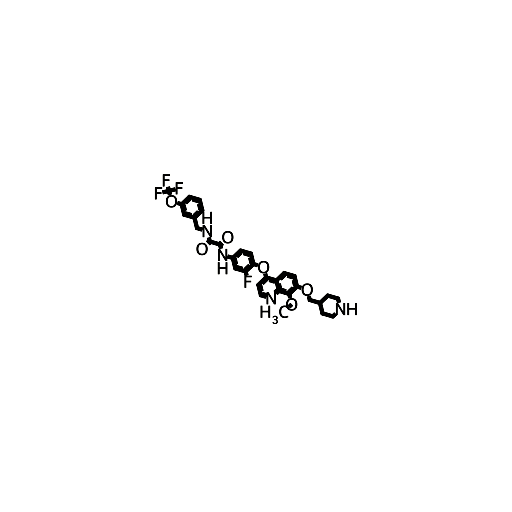 COc1c(OCC2CCNCC2)ccc2c(Oc3ccc(NC(=O)C(=O)NCc4cccc(OC(F)(F)F)c4)cc3F)ccnc12